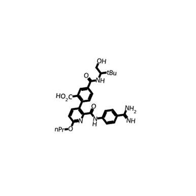 CCCOc1ccc(-c2ccc(C(=O)NC(CO)C(C)(C)C)cc2C(=O)O)c(C(=O)Nc2ccc(C(=N)N)cc2)n1